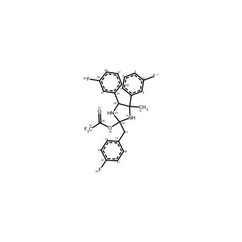 CC1(c2cccc(F)c2)NC(Cc2ccc(F)cc2)(OC(=O)C(F)(F)F)NC1c1cccc(F)c1